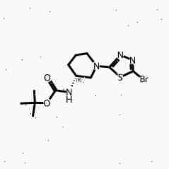 CC(C)(C)OC(=O)N[C@@H]1CCCN(c2nnc(Br)s2)C1